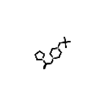 C=C(CN1CCN(CC(C)(C)C)CC1)N1CCCC1